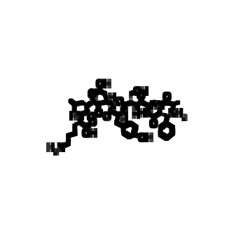 CC(C)C[C@H](NC(=O)[C@@H](CC(=O)O)NC(=O)[C@H](Cc1ccc(O)cc1)NC(=O)[C@H](CO)NC(=O)[C@@H](C)NC(=O)[C@@H](Cc1ccccc1)NC(=O)[C@@H](C)N)C(=O)N[C@@H](CCCCN)C(=O)O